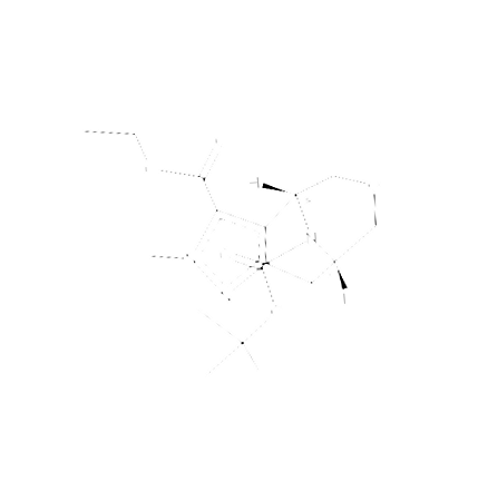 CCOC(=O)c1c2c(nn1C)C[C@H]1COC[C@@H]2N1C(=O)OC(C)(C)C